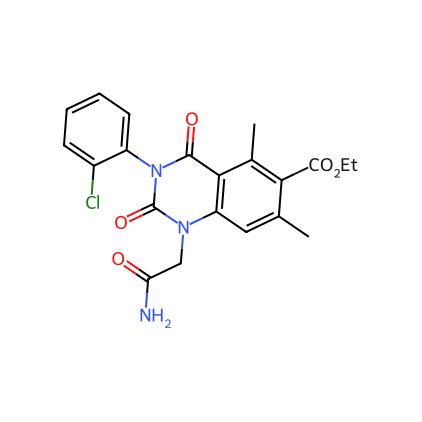 CCOC(=O)c1c(C)cc2c(c1C)c(=O)n(-c1ccccc1Cl)c(=O)n2CC(N)=O